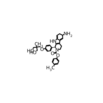 Cc1ccc(OC(=O)N2CCc3c([nH]c4c3=CC(N)CC=4)[C@@H]2c2ccc(OCC(C)(CO)CO)cc2)cc1